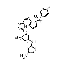 CC[C@@H]1C[C@H](Nc2ncc(N)s2)C[C@@H]1c1nnc2cnc3c(ccn3S(=O)(=O)c3ccc(C)cc3)n12